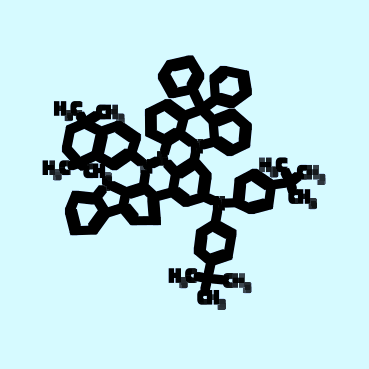 CC(C)(C)c1ccc(N(c2ccc(C(C)(C)C)cc2)c2cc3c4c(c2)N2c5ccccc5C(c5ccccc5)(c5ccccc5)c5cccc(c52)B4N(c2ccc4c(c2)C(C)(C)CCC4(C)C)c2c-3ccc3c2sc2ccccc23)cc1